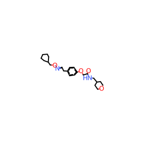 O=C(COc1ccc(CC=NOCC2CCCCC2)cc1)NCC1CCOCC1